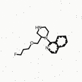 FCCCOCC1CNCCN1c1nccc2ccccc12